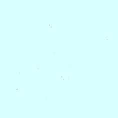 O=[N+]([O-])c1cc(Cl)cc(Nc2ccc(Cl)cc2)c1